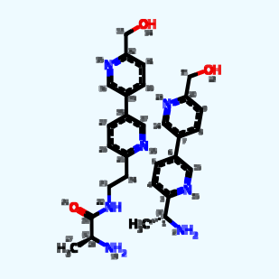 C[C@@H](N)c1ccc(-c2ccc(CO)nc2)cn1.C[C@H](N)C(=O)NCCc1ccc(-c2ccc(CO)nc2)cn1